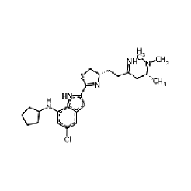 C[C@H](CC(=N)CC[C@H]1CSC(c2cc3cc(Cl)cc(NC4CCCC4)c3[nH]2)=N1)N(C)C